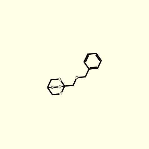 c1ccc(COCC23OCC(CO2)CO3)cc1